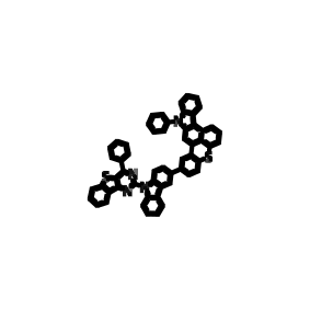 c1ccc(-c2nc(-n3c4ccccc4c4cc(-c5ccc6c(c5)-c5cc7c(c8cccc(c58)S6)c5ccccc5n7-c5ccccc5)ccc43)nc3c2sc2ccccc23)cc1